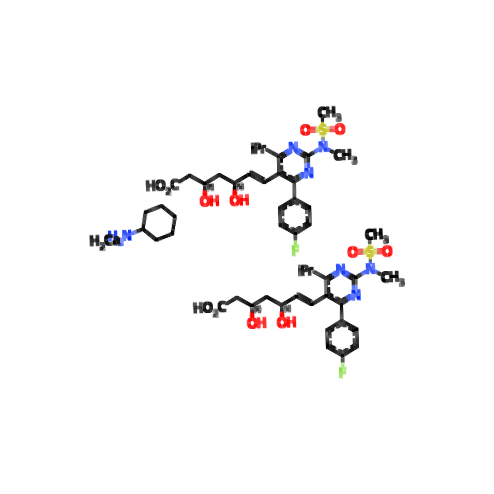 CC(C)c1nc(N(C)S(C)(=O)=O)nc(-c2ccc(F)cc2)c1C=C[C@@H](O)C[C@@H](O)CC(=O)O.CC(C)c1nc(N(C)S(C)(=O)=O)nc(-c2ccc(F)cc2)c1C=C[C@@H](O)C[C@@H](O)CC(=O)O.NC1CCCCC1.[CaH2]